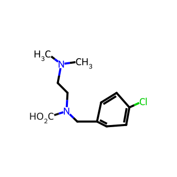 CN(C)CCN(Cc1ccc(Cl)cc1)C(=O)O